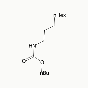 CCCCCCCCCNC(=O)OCCCC